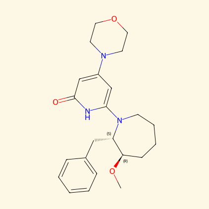 CO[C@@H]1CCCCN(c2cc(N3CCOCC3)cc(=O)[nH]2)[C@H]1Cc1ccccc1